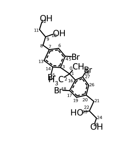 CC(C)(c1c(Br)cc(CC(O)CO)cc1Br)c1c(Br)cc(CC(O)CO)cc1Br